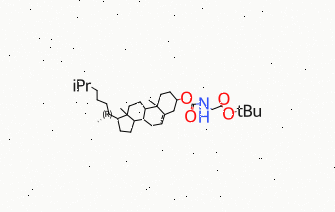 CC(C)CCC[C@@H](C)C1CCC2C3CC=C4CC(OC(=O)NCC(=O)OC(C)(C)C)CCC4(C)C3CCC21C